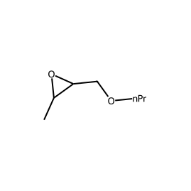 [CH2]CCOCC1OC1C